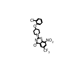 O=c1nc(N2CCC(Oc3ccccc3Cl)CC2)sc2c([N+](=O)[O-])cc(C(F)(F)F)cc12